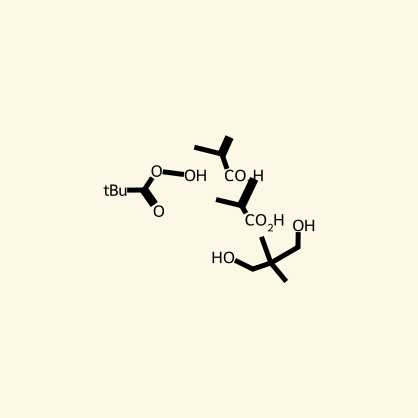 C=C(C)C(=O)O.C=C(C)C(=O)O.CC(C)(C)C(=O)OO.CC(C)(CO)CO